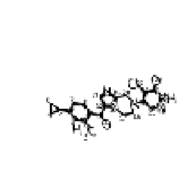 Cc1cc(C2CC2)ccc1C(=O)c1cnc2n1CCN(c1cn[nH]c(=O)c1Cl)C2